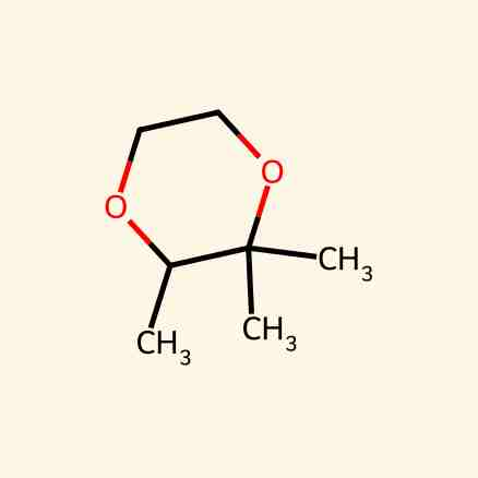 CC1OCCOC1(C)C